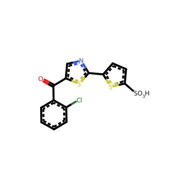 O=C(c1cnc(-c2ccc(S(=O)(=O)O)s2)s1)c1ccccc1Cl